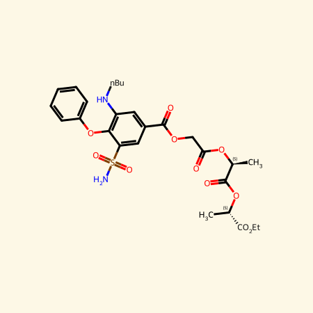 CCCCNc1cc(C(=O)OCC(=O)O[C@@H](C)C(=O)O[C@@H](C)C(=O)OCC)cc(S(N)(=O)=O)c1Oc1ccccc1